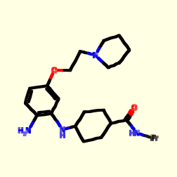 CC(C)NC(=O)C1CCC(Nc2cc(OCCN3CCCCC3)ccc2N)CC1